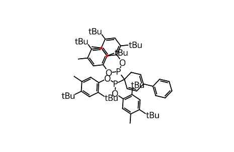 Cc1cc(OP(Oc2cc(C)c(C(C)(C)C)cc2C(C)(C)C)C2(P(Oc3cc(C)c(C(C)(C)C)cc3C(C)(C)C)Oc3cc(C)c(C(C)(C)C)cc3C(C)(C)C)C=CC(c3ccccc3)=CC2)c(C(C)(C)C)cc1C(C)(C)C